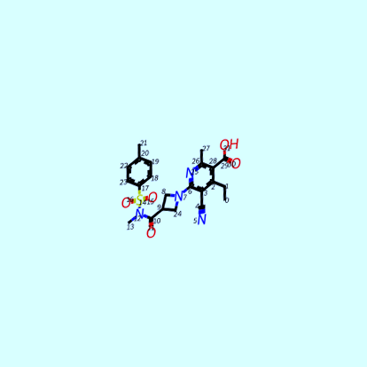 CCc1c(C#N)c(N2CC(C(=O)N(C)S(=O)(=O)c3ccc(C)cc3)C2)nc(C)c1C(=O)O